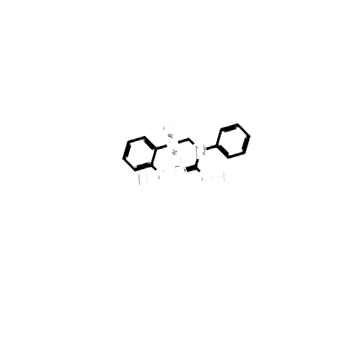 Cc1ccccc1S(=O)(=O)CN(C(=O)O)c1ccccc1